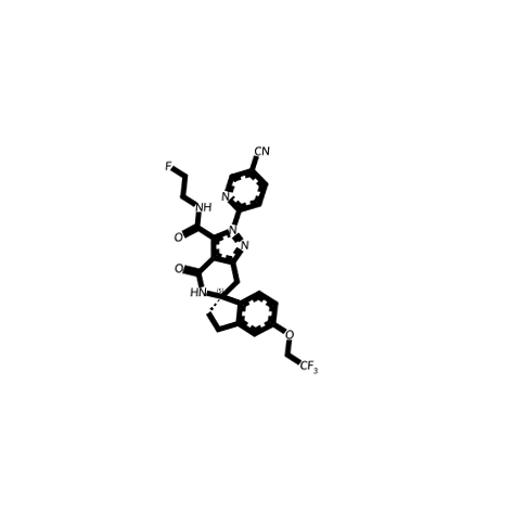 N#Cc1ccc(-n2nc3c(c2C(=O)NCCF)C(=O)N[C@@]2(CCc4cc(OCC(F)(F)F)ccc42)C3)nc1